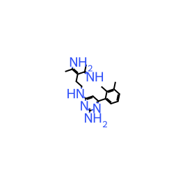 CC(=N)/C(CCNc1cc(-c2cccc(C)c2C)nc(N)n1)=C(/C)N